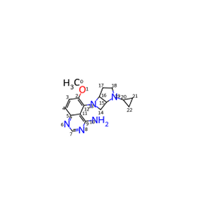 COc1ccc2ncnc(N)c2c1N1CC2C1CCN2C1CC1